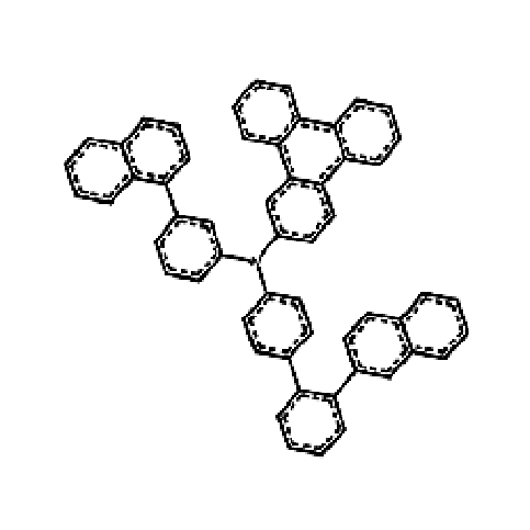 c1cc(-c2cccc3ccccc23)cc(N(c2ccc(-c3ccccc3-c3ccc4ccccc4c3)cc2)c2ccc3c4ccccc4c4ccccc4c3c2)c1